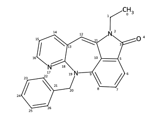 CCN1C(=O)c2cccc3c2C1=Cc1cccnc1N3Cc1ccccc1